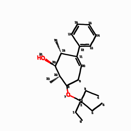 CC[Si](CC)(CC)OC1CC=C(c2ccccc2)[C@@H](C)[C@H](O)[C@H]1C